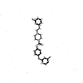 Cc1ccnc(Cc2ccc(OC(=O)N3CCN(CCc4cccc(C)n4)CC3)cc2)c1